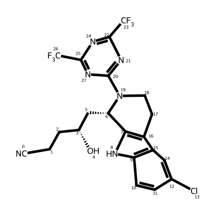 N#CCC[C@@H](O)C[C@H]1c2[nH]c3ccc(Cl)cc3c2CCN1c1nc(C(F)(F)F)nc(C(F)(F)F)n1